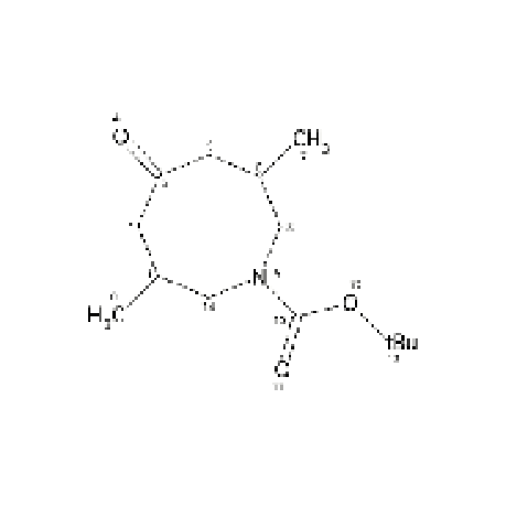 CC1CC(=O)CC(C)CN(C(=O)OC(C)(C)C)C1